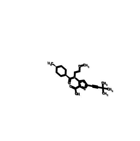 COCCN(c1cc(C#CC(C)(C)C)sc1C(=O)O)C(=O)[C@H]1CC[C@H](C)CC1